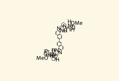 COC(=O)N[C@H](C(=O)N1CCC[C@H]1c1nc2ccc3cc(-c4ccc5c(ccc6nc([C@@H]7C[C@@H]8CCC[C@@H]8N7C(=O)[C@@H](NC(=O)OC)C(C)C)[nH]c65)c4)ccc3c2[nH]1)C(C)C